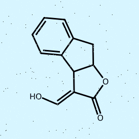 O=C1OC2Cc3ccccc3C2/C1=C\O